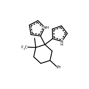 CC(C)C1CCC(C)(C(F)(F)F)C(c2ccc[nH]2)(c2ccc[nH]2)C1